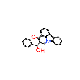 O=c1c(C(O)c2ccccc2)cn2c3ccccc3c3cccc1c32